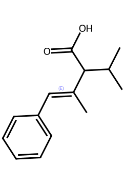 C/C(=C\c1ccccc1)C(C(=O)O)C(C)C